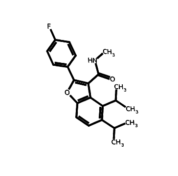 CNC(=O)c1c(-c2ccc(F)cc2)oc2ccc(C(C)C)c(C(C)C)c12